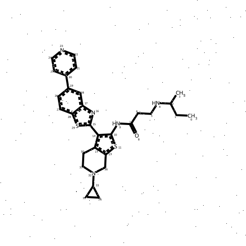 CCC(C)NCCC(=O)Nc1sc2c(c1-c1nc3cc(-c4ccncc4)ccc3s1)CCN(C1CC1)C2